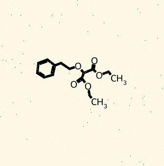 CCOC(=O)C(OCCc1ccccc1)C(=O)OCC